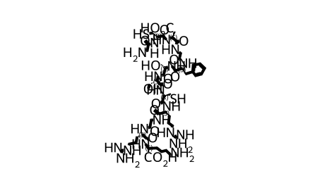 N=C(N)NCCC[C@H](NC(=O)CNC(=O)[C@H](CCCNC(=N)N)NC(=O)[C@H](CS)NC(=O)[C@H](CO)NC(=O)[C@H](CO)NC(=O)[C@H](Cc1ccccc1)NC(=O)CNC(=O)[C@H](CC(=O)O)NC(=O)[C@H](CS)NC(=O)CN)C(=O)N[C@@H](CCCCN)C(=O)O